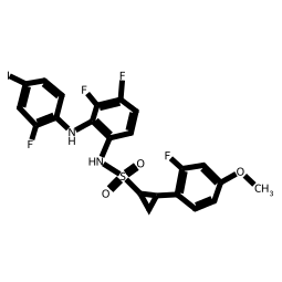 COc1ccc(C2CC2S(=O)(=O)Nc2ccc(F)c(F)c2Nc2ccc(I)cc2F)c(F)c1